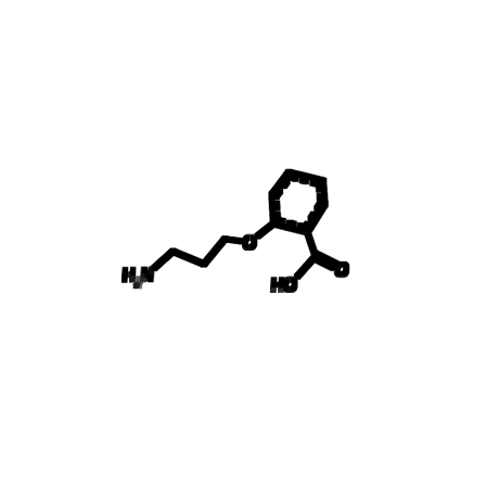 NCCCOc1ccccc1C(=O)O